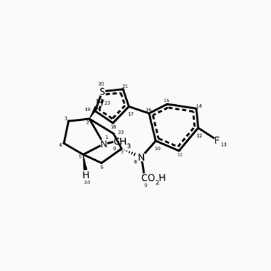 CN1[C@@H]2CC[C@H]1C[C@@H](N(C(=O)O)c1cc(F)ccc1-c1ccsc1)C2